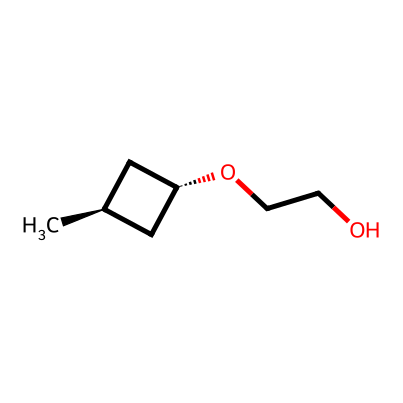 C[C@H]1C[C@H](OCCO)C1